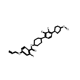 C=CCOc1ccc(C(=O)OC2CCC(c3ccc(C4CCC(OCC)CC4)c(F)c3F)CC2)c(F)c1